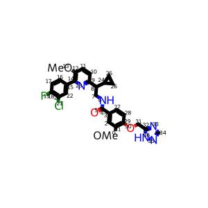 COc1cc(C(=O)NCC(c2ccc(OC)c(-c3ccc(F)c(Cl)c3)n2)C2CC2)ccc1OCc1ncn[nH]1